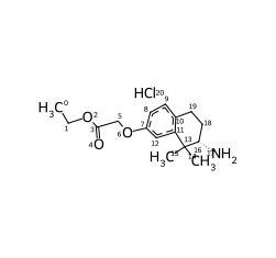 CCOC(=O)COc1ccc2c(c1)C(C)(C)[C@@H](N)CC2.Cl